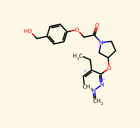 C=N/N=C(OC1CCN(C(=O)COc2ccc(CO)cc2)C1)\C(=C/C)CC